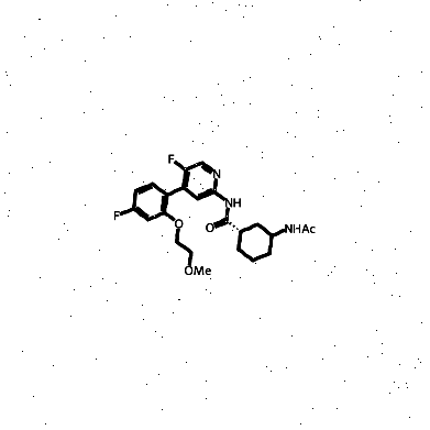 COCCOc1cc(F)ccc1-c1cc(NC(=O)[C@H]2CCCC(NC(C)=O)C2)ncc1F